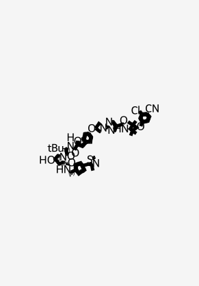 Cc1ncsc1-c1ccc([C@H](C)NC(=O)[C@@H]2C[C@@H](O)CN2C(=O)[C@@H](NC(=O)c2cc3ccc(OC4CN(c5ncc(C(=O)N[C@H]6C(C)(C)[C@H](Oc7ccc(C#N)c(Cl)c7)C6(C)C)cn5)C4)cc3o2)C(C)(C)C)cc1